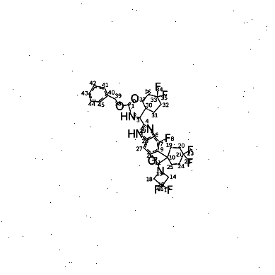 O=C(NC(c1nc2c(F)c(C3(C(=O)N4CC(F)(F)C4)CCC(F)(F)CC3)ccc2[nH]1)C1CCC(F)(F)CC1)OCc1ccccc1